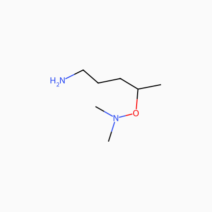 CC(CCCN)ON(C)C